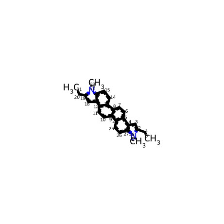 CCc1cc2c3ccc4c(ccc5c4ccc4c5cc(CC)n4C)c3ccc2n1C